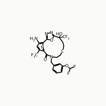 Nc1cc(C(F)(F)F)c2nc1-c1nnc(o1)[C@@](O)(C(F)(F)F)CCCCCN(Cc1cccc(OC(F)F)c1)C2=O